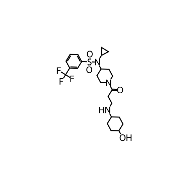 O=C(CCNC1CCC(O)CC1)N1CCC(N(C2CC2)S(=O)(=O)c2cccc(C(F)(F)F)c2)CC1